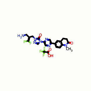 CN1C(=O)CCc2cc(-c3cnc(-n4cnn(CC(CN)=C(F)F)c4=O)cn3)ccc21.O=C(O)C(F)(F)F